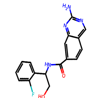 Nc1ncc2ccc(C(=O)NC(CO)c3ccccc3F)cc2n1